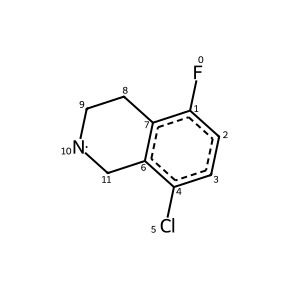 Fc1ccc(Cl)c2c1CC[N]C2